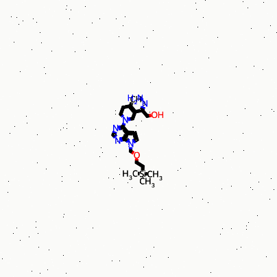 CC1=C(/C(CO)=N\N)CN(c2ncnc3c2ccn3COCC[Si](C)(C)C)CC1